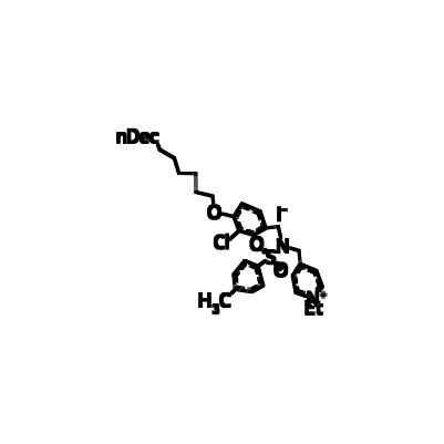 CCCCCCCCCCCCCCCCOc1ccc(CN(Cc2cc[n+](CC)cc2)S(=O)(=O)c2ccc(C)cc2)cc1Cl.[I-]